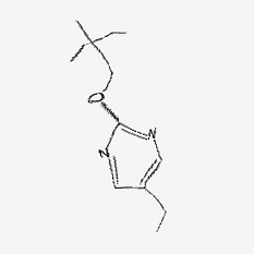 CCc1cnc(OCC(C)(C)C)nc1